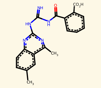 Cc1ccc2nc(NC(=N)NC(=O)c3ccccc3C(=O)O)nc(C)c2c1